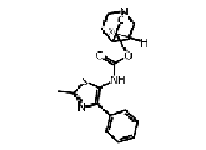 Cc1nc(-c2ccccc2)c(NC(=O)O[C@H]2CN3CCC2CC3)s1